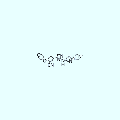 CN1CCN(c2ccc(Nc3nccc(-c4ccc(OC5CCOCC5)c(C#N)c4)n3)cn2)CC1